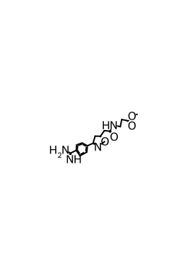 COC(=O)CCNC(=O)CC1CC(c2ccc(C(=N)N)cc2)=NO1